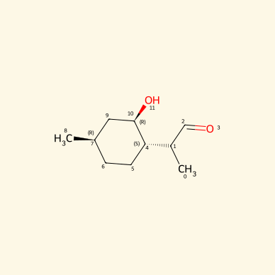 CC(C=O)[C@@H]1CC[C@@H](C)C[C@H]1O